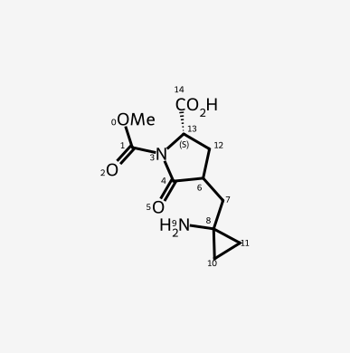 COC(=O)N1C(=O)C(CC2(N)CC2)C[C@H]1C(=O)O